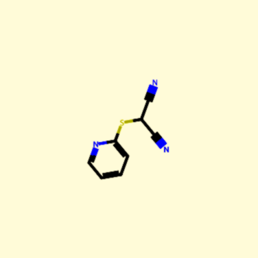 N#CC(C#N)Sc1ccccn1